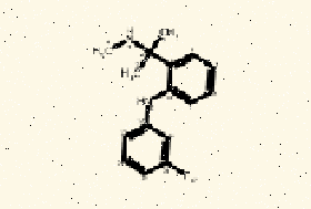 CNC(C)(C)c1ccccc1Nc1cccc(F)c1